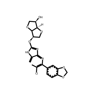 C=C1NC(O[C@@H]2CO[C@H]3C2OC[C@H]3O)=N/C1=N/C(=C(\C)Cl)c1ccc2c(c1)OCO2